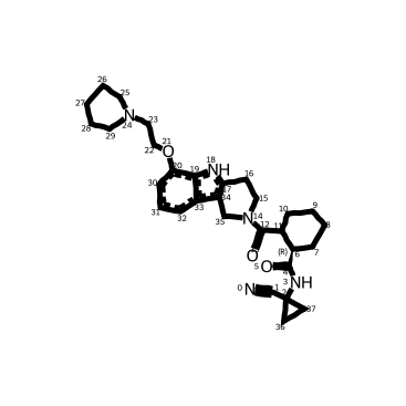 N#CC1(NC(=O)[C@@H]2CCCCC2C(=O)N2CCc3[nH]c4c(OCCN5CCCCC5)cccc4c3C2)CC1